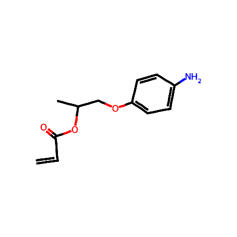 C=CC(=O)OC(C)COc1ccc(N)cc1